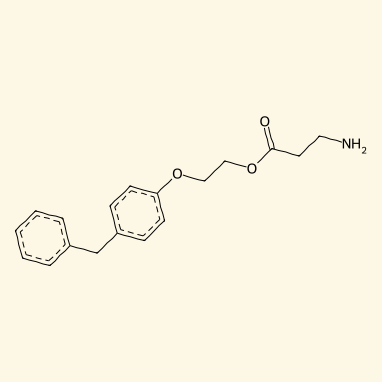 NCCC(=O)OCCOc1ccc(Cc2ccccc2)cc1